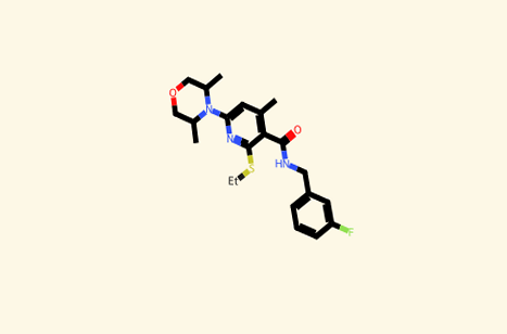 CCSc1nc(N2C(C)COCC2C)cc(C)c1C(=O)NCc1cccc(F)c1